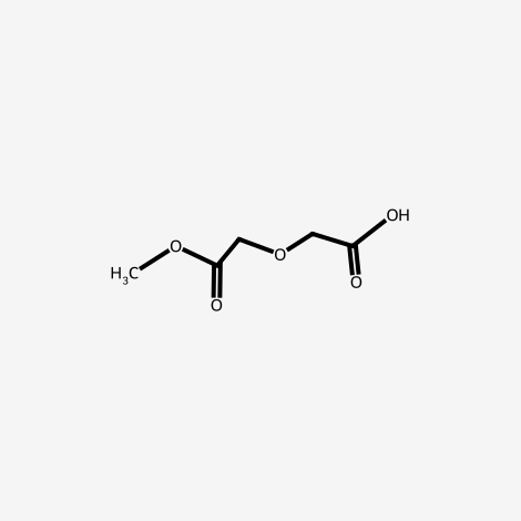 COC(=O)COCC(=O)O